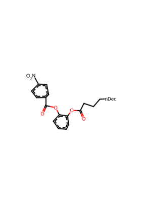 CCCCCCCCCCCCCC(=O)Oc1ccccc1OC(=O)c1ccc([N+](=O)[O-])cc1